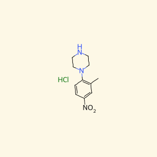 Cc1cc([N+](=O)[O-])ccc1N1CCNCC1.Cl